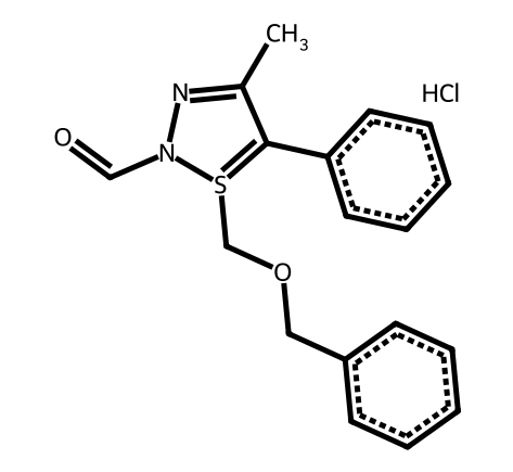 CC1=NN(C=O)S(COCc2ccccc2)=C1c1ccccc1.Cl